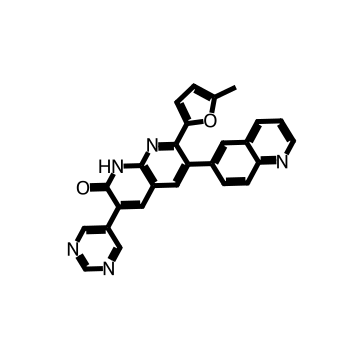 Cc1ccc(-c2nc3[nH]c(=O)c(-c4cncnc4)cc3cc2-c2ccc3ncccc3c2)o1